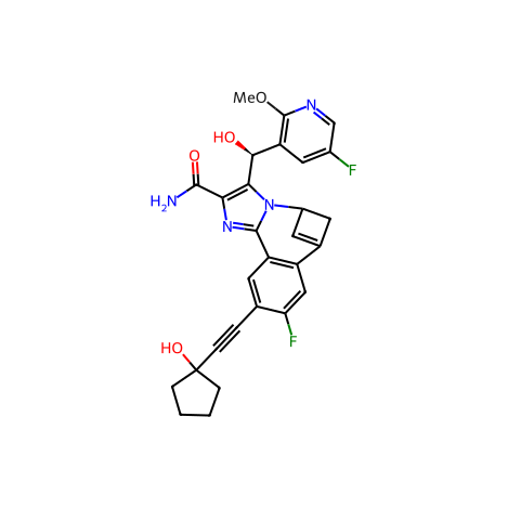 COc1ncc(F)cc1[C@H](O)c1c(C(N)=O)nc2n1C1C=C(C1)c1cc(F)c(C#CC3(O)CCCC3)cc1-2